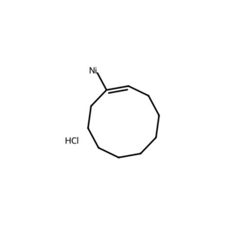 Cl.[Ni][C]1=CCCCCCCCC1